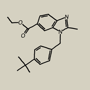 CCOC(=O)c1ccc2nc(C)n(Cc3ccc(C(C)(C)C)cc3)c2c1